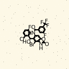 O=C(Nc1cc2oc(=O)[nH]c2c(Br)c1C(O)c1cc(F)ccc1Cl)c1cc(F)cc(C(F)(F)F)c1